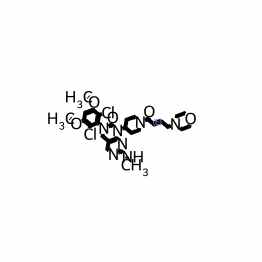 CNc1ncc2c(n1)N(C1CCN(C(=O)/C=C/CN3CCOCC3)CC1)C(=O)N(c1c(Cl)c(OC)cc(OC)c1Cl)C2